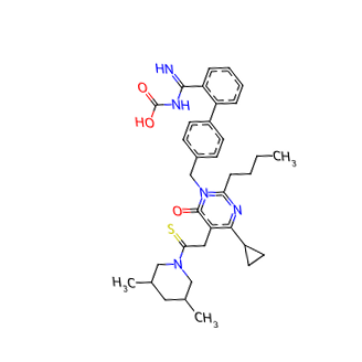 CCCCc1nc(C2CC2)c(CC(=S)N2CC(C)CC(C)C2)c(=O)n1Cc1ccc(-c2ccccc2C(=N)NC(=O)O)cc1